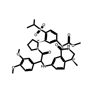 COC(=O)Nc1ccc(S(=O)(=O)C(C)C)c([C@H]2CCCN2C(=O)C(Nc2ccc3c(c2)C(=O)NC[C@H]3C)c2ccc(OC)c(OC)c2)c1